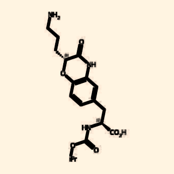 CC(C)OC(=O)N[C@@H](Cc1ccc2c(c1)NC(=O)[C@@H](CCCN)O2)C(=O)O